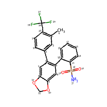 Cc1cc(-c2cc3c(cc2-c2ccccc2S(N)(=O)=O)OCO3)ccc1C(F)(F)F